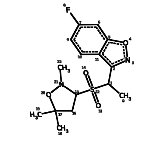 CC(c1noc2cc(F)ccc12)S(=O)(=O)C1CC(C)(C)ON1C